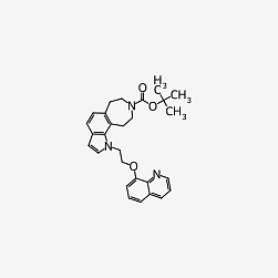 CC(C)(C)OC(=O)N1CCc2ccc3ccn(CCOc4cccc5cccnc45)c3c2CC1